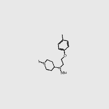 CCCCN(CCOc1ccc(C)cc1)C1CCN(I)CC1